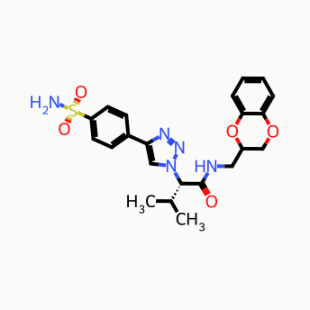 CC(C)[C@@H](C(=O)NCC1COc2ccccc2O1)n1cc(-c2ccc(S(N)(=O)=O)cc2)nn1